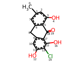 Cc1cc(O)c2c(c1)Cc1cc(O)c(Cl)c(O)c1C2=O